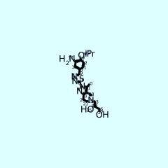 Cc1c2c(nn1-c1nnc(-c3ccc(OC(C)C)c(N)c3)s1)CCN(C[C@@H](O)CO)C2